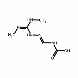 CN=C(NC)NN=CNC(=O)O